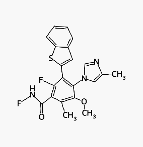 COc1c(C)c(C(=O)NF)c(F)c(-c2cc3ccccc3s2)c1-n1cnc(C)c1